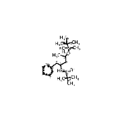 CC(CC(Cc1ccccn1)N[S@+]([O-])C(C)(C)C)O[Si](C)(C)C(C)(C)C